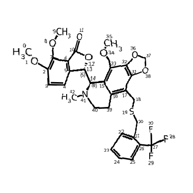 COc1ccc2c(c1OC)C(=O)O[C@@H]2[C@H]1c2c(c(CSCc3ccccc3C(F)(F)F)c3c(c2OC)OCO3)CCN1C